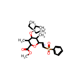 CC[Si](CC)(CC)OC1C(C)C(/C=C/S(=O)(=O)c2ccccc2)OC(C(=O)OC)C1C